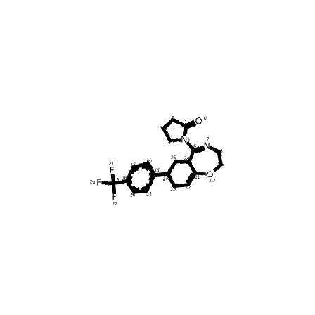 O=C1CCCN1C1=NCCOC2=CCC(c3ccc(C(F)(F)F)cc3)CC21